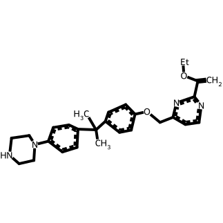 C=C(OCC)c1nccc(COc2ccc(C(C)(C)c3ccc(N4CCNCC4)cc3)cc2)n1